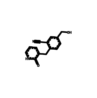 N#Cc1cc(CO)ccc1Cc1ccc[nH]c1=O